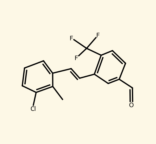 Cc1c(Cl)cccc1/C=C/c1cc(C=O)ccc1C(F)(F)F